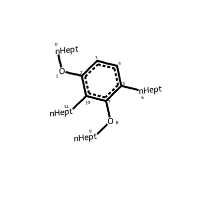 CCCCCCCOc1ccc(CCCCCCC)c(OCCCCCCC)c1CCCCCCC